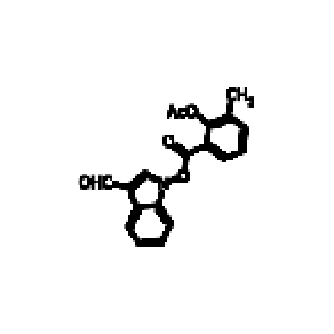 CC(=O)Oc1c(C)cccc1C(=O)On1cc(C=O)c2ccccc21